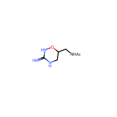 CC(=O)NCC1CNC(=N)NO1